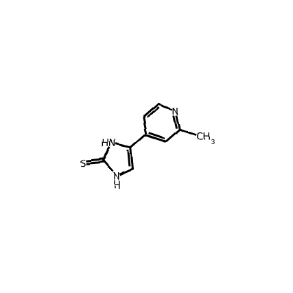 Cc1cc(-c2c[nH]c(=S)[nH]2)ccn1